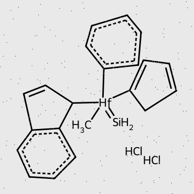 Cl.Cl.[CH3][Hf](=[SiH2])([C]1=CC=CC1)([c]1ccccc1)[CH]1C=Cc2ccccc21